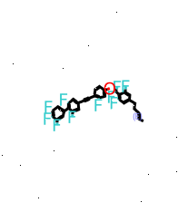 C/C=C/CCc1cc(F)c(C(F)(F)Oc2ccc(C#Cc3cc(F)c(-c4cc(F)c(F)c(F)c4)c(F)c3)c(F)c2)c(F)c1